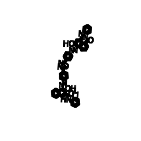 O=C(Nc1ccccc1Cl)c1cc2ccccc2c(N=Nc2ccc(-c3nnc(-c4ccc(N=Nc5c(O)cc6c7c5cccc7c(=O)n5c7ccccc7nc65)cc4)o3)cc2)c1O